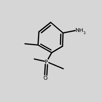 Cc1ccc(N)cc1P(C)(C)=O